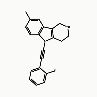 Cc1ccc2c(c1)c1c(n2C#Cc2ccccc2F)CCNC1